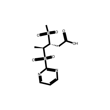 C[C@@H]([C@@H](CC(=O)O)S(C)(=O)=O)S(=O)(=O)c1ncccn1